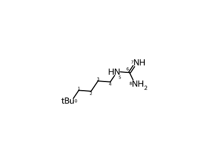 CC(C)(C)CCCCNC(=N)N